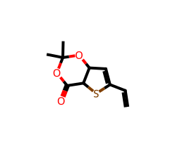 C=CC1=CC2OC(C)(C)OC(=O)C2S1